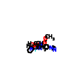 COCOc1cc(-n2ccnc2)ccc1-c1ncc(O[C@@H]2C[C@@H]3CCCC([C@@H]2F)N3C(=O)OC(C)(C)C)nn1